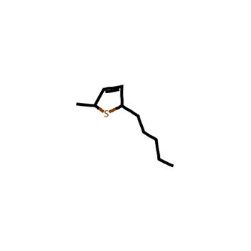 CCCCCC1C=CC(C)S1